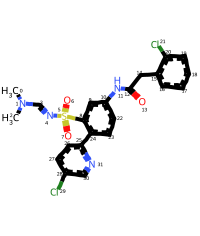 CN(C)C=NS(=O)(=O)c1cc(NC(=O)Cc2ccccc2Cl)ccc1-c1ccc(Cl)cn1